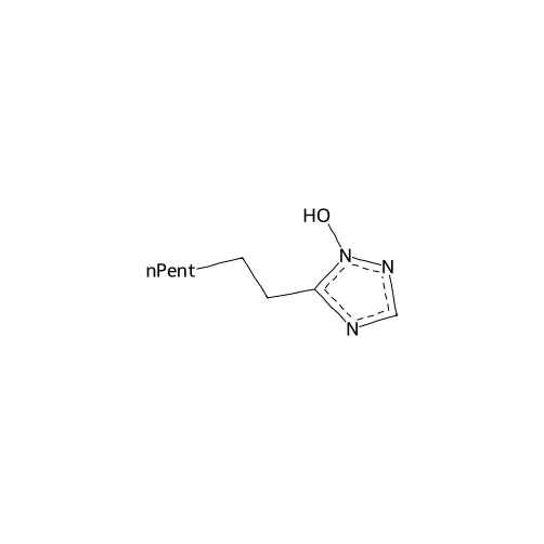 CCCCCCCc1ncnn1O